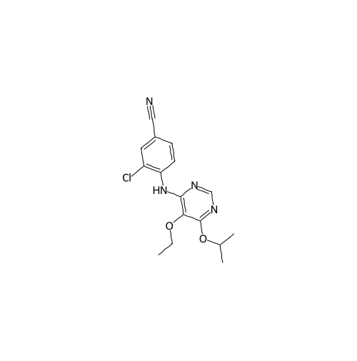 CCOc1c(Nc2ccc(C#N)cc2Cl)ncnc1OC(C)C